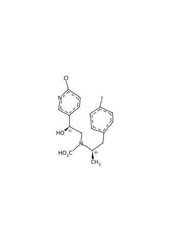 C[C@H](Cc1ccc(I)cc1)N(C[C@@H](O)c1ccc(Cl)nc1)C(=O)O